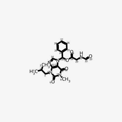 CC(C)Cn1c(=O)n(C)c(=O)c2c1ncn2C(OC(=O)CNC=O)c1ccccc1